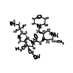 CC(C)CC(F)(F)c1cc2c(cn1)C(C)(C)CN2C(=O)CN1C[C@@H](C)NC[C@@H]1CN1CCOCC1.Cl